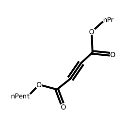 CCCCCOC(=O)C#CC(=O)OCCC